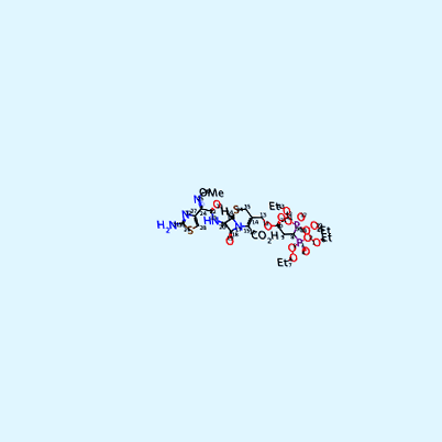 CCOOP(=O)(OOCC)C(CC(=O)OCC1=C(C(=O)O)N2C(=O)[C@@H](NC(=O)/C(=N\OC)c3csc(N)n3)[C@@H]2SC1)P(=O)(OOCC)OOCC